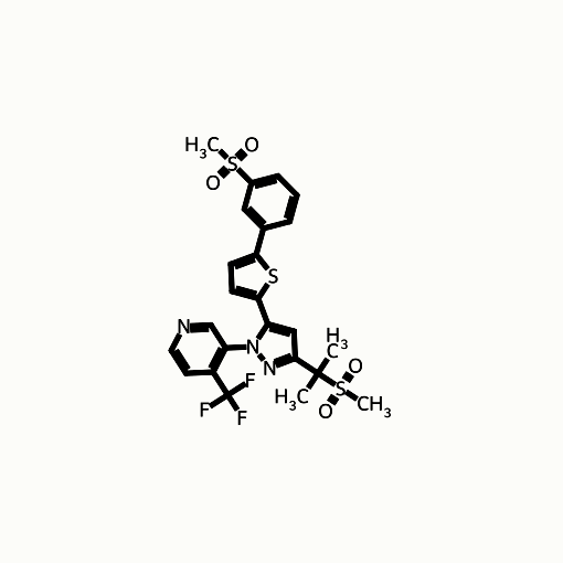 CC(C)(c1cc(-c2ccc(-c3cccc(S(C)(=O)=O)c3)s2)n(-c2cnccc2C(F)(F)F)n1)S(C)(=O)=O